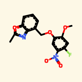 COc1cc(F)c([N+](=O)[O-])cc1OCc1cccc2oc(C)nc12